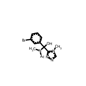 CC(=O)N(C)C(O)(c1cccc(Br)c1)c1nncn1C